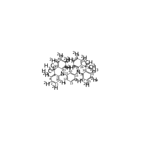 [2H]c1c([2H])c([2H])c2c(c1[2H])N(c1cccc(N3c4c([2H])c([2H])c([2H])c([2H])c4C(C)(C)c4c([2H])c([2H])c([2H])c([2H])c43)c1)c1c([2H])c([2H])c([2H])c([2H])c1C2(C)C